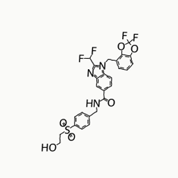 O=C(NCc1ccc(S(=O)(=O)CCO)cc1)c1ccc2c(c1)nc(C(F)F)n2Cc1cccc2c1OC(F)(F)O2